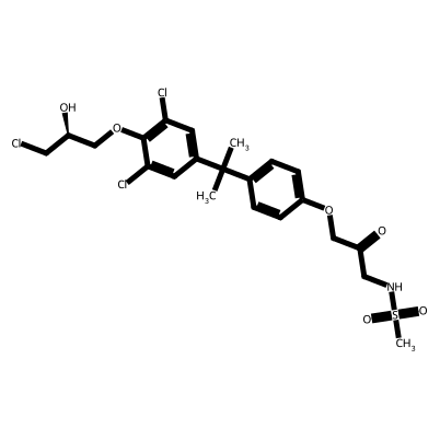 CC(C)(c1ccc(OCC(=O)CNS(C)(=O)=O)cc1)c1cc(Cl)c(OC[C@H](O)CCl)c(Cl)c1